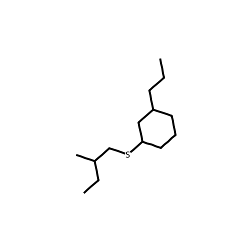 CCCC1CCCC(SCC(C)CC)C1